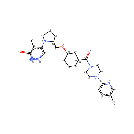 Cc1c(N2CCC[C@H]2CO[C@@H]2CCC[C@H](C(=O)N3CCN(c4ccc(C#N)cn4)CC3)C2)cn[nH]c1=O